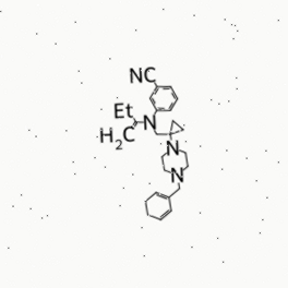 C=C(CC)N(CC1(N2CCN(CC3=CCCC=C3)CC2)CC1)c1cccc(C#N)c1